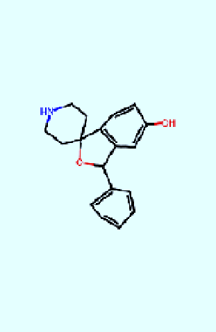 Oc1ccc2c(c1)C(c1ccccc1)OC21CCNCC1